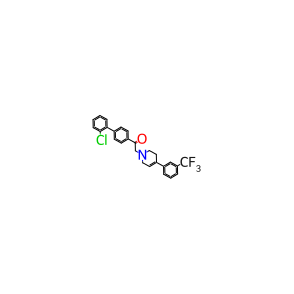 O=C(CN1CC=C(c2cccc(C(F)(F)F)c2)CC1)c1ccc(-c2ccccc2Cl)cc1